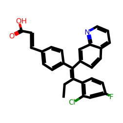 CCC(=C(c1ccc(C=CC(=O)O)cc1)c1ccc2cccnc2c1)c1ccc(F)cc1Cl